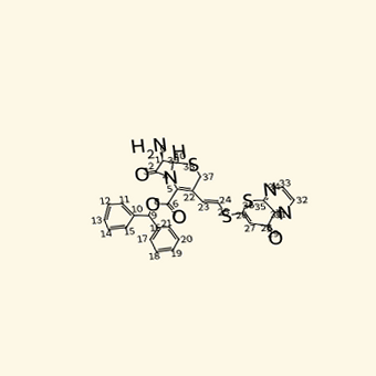 N[C@@H]1C(=O)N2C(C(=O)OC(c3ccccc3)c3ccccc3)=C(/C=C/Sc3cc(=O)c4nccnc4s3)CS[C@H]12